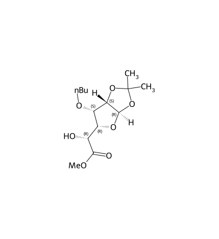 CCCCO[C@@H]1[C@@H]2OC(C)(C)O[C@H]2O[C@@H]1[C@@H](O)C(=O)OC